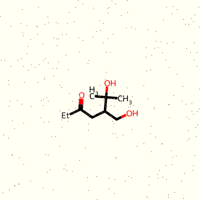 CCC(=O)CC(CO)C(C)(C)O